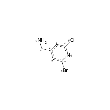 NCc1cc(Cl)nc(Br)c1